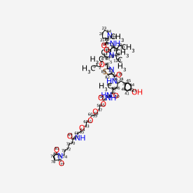 CCCO[C@H](C[C@H](C(C)C)N(CCC)C(=O)[C@@H](NC(=O)[C@H]1CCCCN1C)[C@@H](C)CC)c1nc(C(=O)NC(Cc2ccc(O)cc2)C[C@H](C)C(=O)NNC(=O)OCCOCCOCCOCCNC(=O)CCCCCN2C(=O)C=CC2=O)cs1